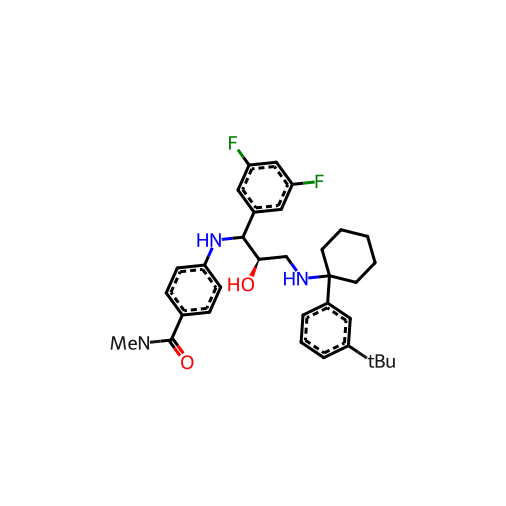 CNC(=O)c1ccc(NC(c2cc(F)cc(F)c2)[C@H](O)CNC2(c3cccc(C(C)(C)C)c3)CCCCC2)cc1